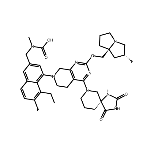 CCc1c(F)ccc2cc(CN(C)C(=O)O)cc(N3CCc4c(nc(OC[C@@]56CCCN5C[C@H](F)C6)nc4N4CCC[C@]5(C4)NC(=O)NC5=O)C3)c12